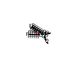 CCOCCOC(C(F)(OC(F)(F)C(F)(F)C(F)(F)C(F)(F)C(F)(F)C(F)(F)F)C(F)(F)C(F)(F)C(F)(F)C(F)(F)C(F)(F)C(F)(F)F)S(=O)(=O)OCC